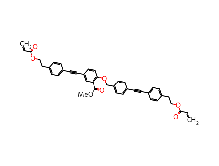 C=CC(=O)OCCc1ccc(C#Cc2ccc(COc3ccc(C#Cc4ccc(CCOC(=O)C=C)cc4)cc3C(=O)OC)cc2)cc1